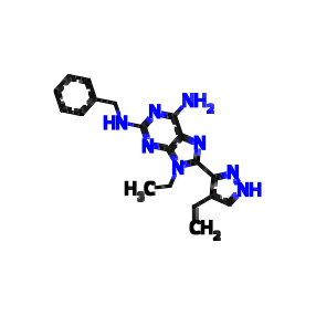 C=Cc1c[nH]nc1-c1nc2c(N)nc(NCc3ccccc3)nc2n1CC